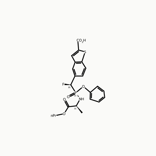 CCCOC(=O)[C@H](C)N[P@@](=O)(Oc1ccccc1)[C@@H](F)c1ccc2sc(C(=O)O)cc2c1